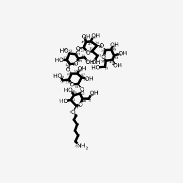 NCCCCCCO[C@@H]1OC(CO)[C@@H](O[C@H]2OC(CO)[C@H](O[C@H]3OC(CO)[C@@H](O[C@@H]4OC(CO)[C@@H](O[C@H]5OC(CO)[C@H](O)C(O)C5O)C(O)C4O)C(O)C3O)C(O)C2O)C(O)C1O